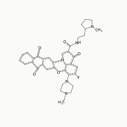 CN1CCN(c2c(F)cc3c(=O)c(C(=O)NCCC4CCCN4C)cn4c5cc6c(=O)c7ccccc7c(=O)c6cc5oc2c34)CC1